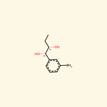 Bc1cccc([C@H](O)[C@@H](O)CC)c1